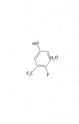 O.Oc1ccc(F)c(C(F)(F)F)c1